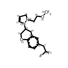 FC(F)Cc1ccc2c(c1)CC(N1C=CCN1CCOC(F)(F)F)CO2